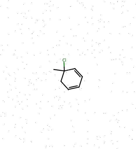 CC1(Cl)C=CC=[C]C1